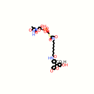 Cc1cn([C@H]2C[C@@H](O)[C@@H](COP(=O)(O)OCCSC3CC(=O)N(CCCCCCCCCCC(=O)Nc4ccc(-c5c6ccc(=O)cc-6oc6cc(O)ccc56)c(C(=O)O)c4)C3=O)O2)c(=O)[nH]c1=O